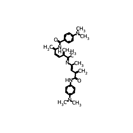 C=C(/C=C\C(=C)/C(C)=N/C(C)=C/C(=C)C(=O)Nc1ccc(N(C)C)cc1)NC(=O)c1ccc(N(C)C)cc1